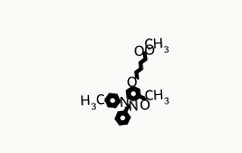 COC(=O)CCCCCOc1cc(C(C)=O)c2nc(-c3ccccc3)n(-c3ccc(C)cc3)c2c1